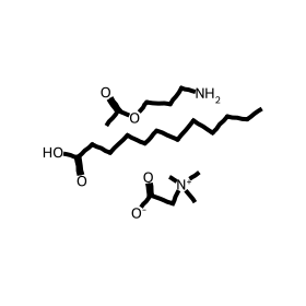 CC(=O)OCCCN.CCCCCCCCCCCC(=O)O.C[N+](C)(C)CC(=O)[O-]